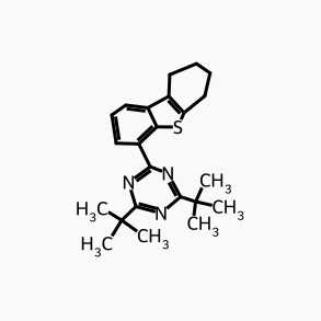 CC(C)(C)c1nc(-c2cccc3c4c(sc23)CCCC4)nc(C(C)(C)C)n1